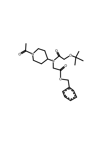 CC(=O)N1CCC(N(CC(=O)OCc2ccccc2)C(=O)COC(C)(C)C)CC1